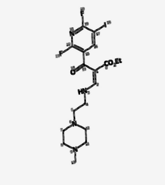 CCOC(=O)C(=CNCCN1CCN(C)CC1)C(=O)c1cc(I)c(F)nc1F